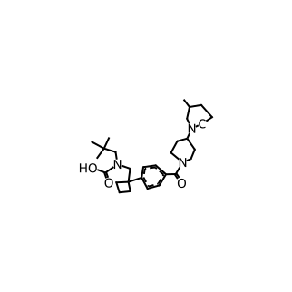 CC1CCCN(C2CCN(C(=O)c3ccc(C4(CN(CC(C)(C)C)C(=O)O)CCC4)cc3)CC2)C1